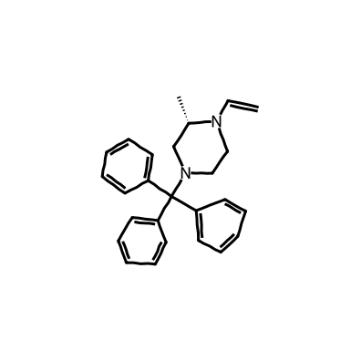 C=CN1CCN(C(c2ccccc2)(c2ccccc2)c2ccccc2)C[C@@H]1C